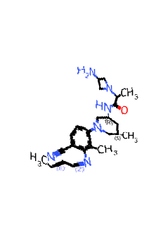 C/C=C/C=N\c1c(C#N)ccc(N2C[C@@H](C)C[C@@H](NC(=O)C(C)N3CC(N)C3)C2)c1C